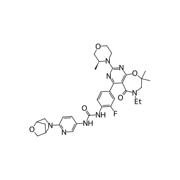 CCN1CC(C)(C)Oc2nc(N3CCOC[C@@H]3C)nc(-c3ccc(NC(=O)Nc4ccc(N5CC6CC5CO6)nc4)c(F)c3)c2C1=O